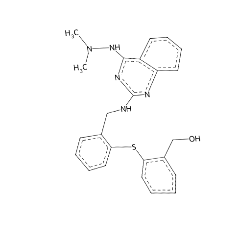 CN(C)Nc1nc(NCc2ccccc2Sc2ccccc2CO)nc2ccccc12